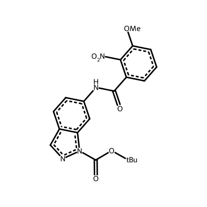 COc1cccc(C(=O)Nc2ccc3cnn(C(=O)OC(C)(C)C)c3c2)c1[N+](=O)[O-]